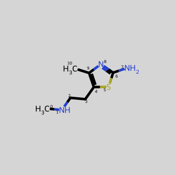 CNCCc1sc(N)nc1C